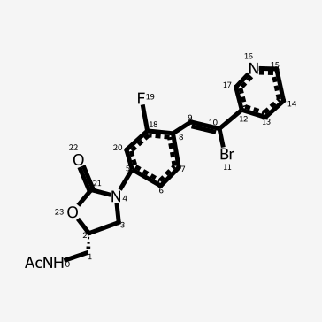 CC(=O)NC[C@H]1CN(c2ccc(C=C(Br)c3cccnc3)c(F)c2)C(=O)O1